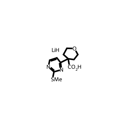 CSc1nccc(C2(C(=O)O)CCOCC2)n1.[LiH]